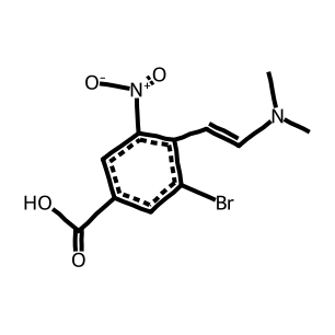 CN(C)C=Cc1c(Br)cc(C(=O)O)cc1[N+](=O)[O-]